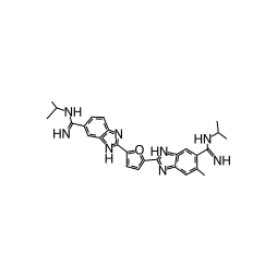 Cc1cc2nc(-c3ccc(-c4nc5ccc(C(=N)NC(C)C)cc5[nH]4)o3)[nH]c2cc1C(=N)NC(C)C